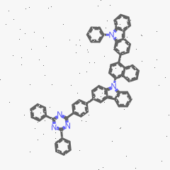 c1ccc(-c2nc(-c3ccccc3)nc(-c3ccc(-c4ccc5c(c4)c4ccccc4n5-c4ccc(-c5ccc6c7ccccc7n(-c7ccccc7)c6c5)c5ccccc45)cc3)n2)cc1